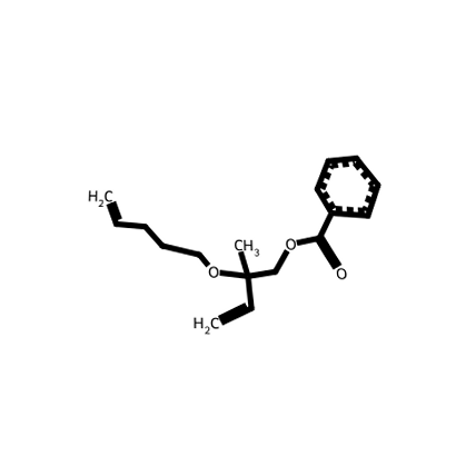 C=CCCCOC(C)(C=C)COC(=O)c1ccccc1